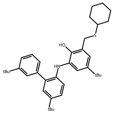 CC(C)(C)c1cccc(-c2cc(C(C)(C)C)ccc2Nc2cc(C(C)(C)C)cc(CSC3CCCCC3)c2O)c1